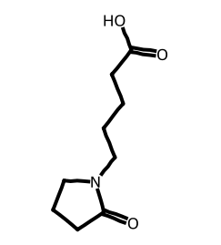 O=C(O)CCCCN1CCCC1=O